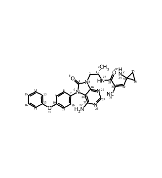 C[C@@H](Cn1c(=O)n(-c2ccc(Oc3ccccc3)cc2)c2c(N)ncnc21)NC(=O)/C(C#N)=C\C1(N)CC1